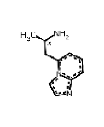 C[C@@H](N)Cc1cccc2nccn12